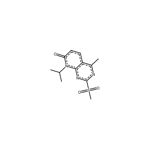 Cc1nc(S(C)(=O)=O)nc2c1ccc(=O)n2C(C)C